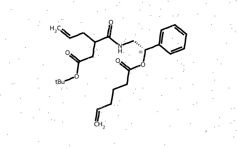 C=CCCCC(=O)O[C@H](CNC(=O)C(CC=C)CC(=O)OC(C)(C)C)c1ccccc1